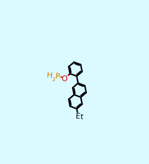 CCc1ccc2cc(-c3ccccc3OP)ccc2c1